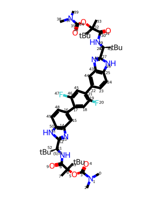 CN(C)C(=O)OC(C)(C(=O)N[C@H](c1nc2cc(-c3cc(F)c(-c4ccc5[nH]c([C@@H](NC(=O)C(C)(OC(=O)N(C)C)C(C)(C)C)C(C)(C)C)nc5c4)cc3F)ccc2[nH]1)C(C)(C)C)C(C)(C)C